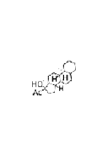 CC(=O)[C@]1(O)CC[C@H]2[C@@H]3CCC4CCCC[C@]4(C)[C@H]3CC[C@@]21C